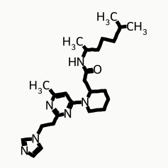 Cc1cc(N2CCCCC2CC(=O)NC(C)CCCC(C)C)nc(CCn2ccnc2)n1